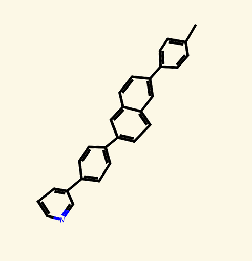 Cc1ccc(-c2ccc3cc(-c4ccc(-c5cccnc5)cc4)ccc3c2)cc1